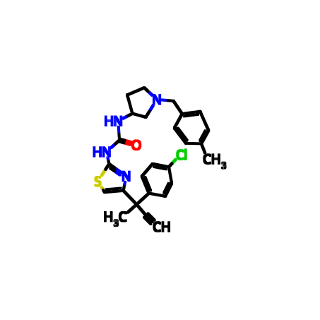 C#CC(C)(c1ccc(Cl)cc1)c1csc(NC(=O)NC2CCN(Cc3ccc(C)cc3)C2)n1